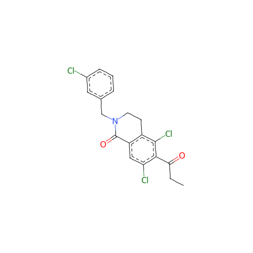 CCC(=O)c1c(Cl)cc2c(c1Cl)CCN(Cc1cccc(Cl)c1)C2=O